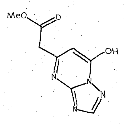 COC(=O)Cc1cc(O)n2ncnc2n1